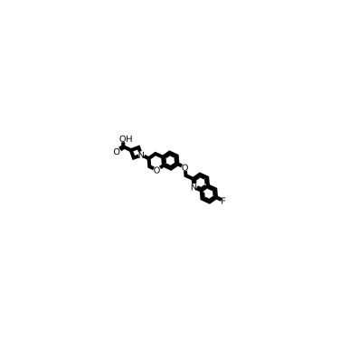 O=C(O)C1CN(C2COc3cc(OCc4ccc5cc(F)ccc5n4)ccc3C2)C1